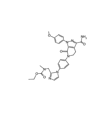 CCOC(=O)N(C)Cc1nccn1-c1ccc(N2CCc3c(C(N)=O)nn(-c4ccc(OC)cc4)c3C2=O)cc1